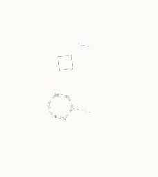 O=C(O)NC1CC(Oc2ccc(F)c(Br)c2)C1